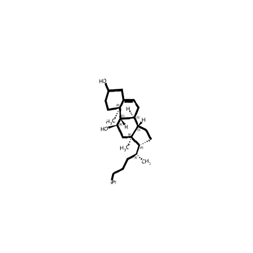 CC(C)CCC[C@@H](C)[C@H]1CC[C@H]2[C@@H]3CC=C4CC(O)CC[C@]4(C)[C@H]3[C@H](O)C[C@]12C